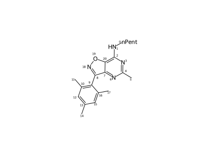 CCCCCNc1nc(C)nc2c(-c3c(C)cc(C)cc3C)noc12